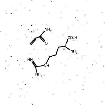 C=CC(N)=O.N=C(N)NCCC[C@H](N)C(=O)O